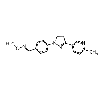 CON=Cc1ccc(N2CCC(c3ccc(C)nc3)=N2)cc1